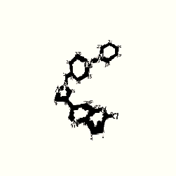 Clc1ccc2ncc(-c3cnn(CC4CCN(N5CCCCC5)CC4)c3)cc2n1